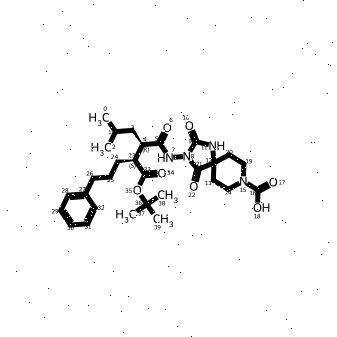 CC(C)C[C@@H](C(=O)NN1C(=O)NC2(CCN(C(=O)O)CC2)C1=O)[C@H](CCCc1ccccc1)C(=O)OC(C)(C)C